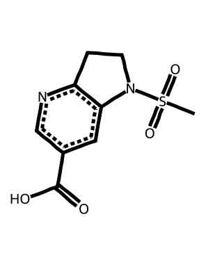 CS(=O)(=O)N1CCc2ncc(C(=O)O)cc21